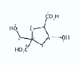 O=C(O)C1OC(CO)(C(=O)O)C[C@H]1O